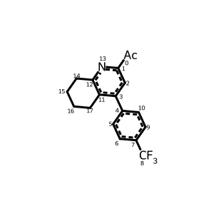 CC(=O)c1cc(-c2ccc(C(F)(F)F)cc2)c2c(n1)CCCC2